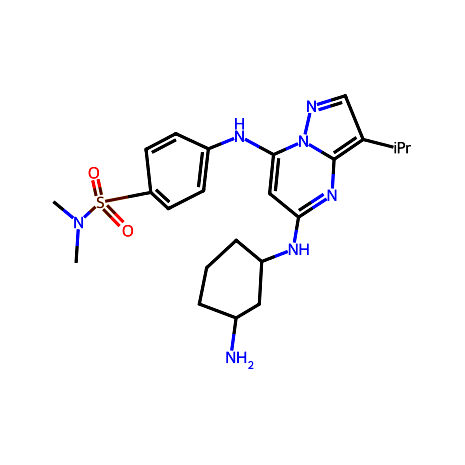 CC(C)c1cnn2c(Nc3ccc(S(=O)(=O)N(C)C)cc3)cc(NC3CCCC(N)C3)nc12